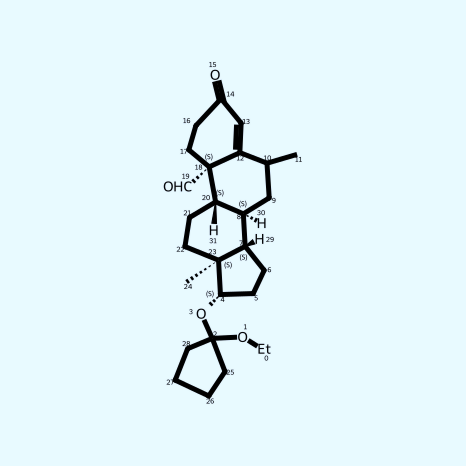 CCOC1(O[C@H]2CC[C@H]3[C@@H]4CC(C)C5=CC(=O)CC[C@]5(C=O)[C@H]4CC[C@]23C)CCCC1